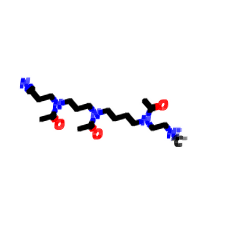 [C-]#[N+]CCN(CCCCN(CCCN(CCC#N)C(C)=O)C(C)=O)C(C)=O